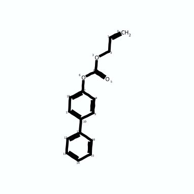 C=CCOC(=O)Oc1ccc(-c2ccccc2)cc1